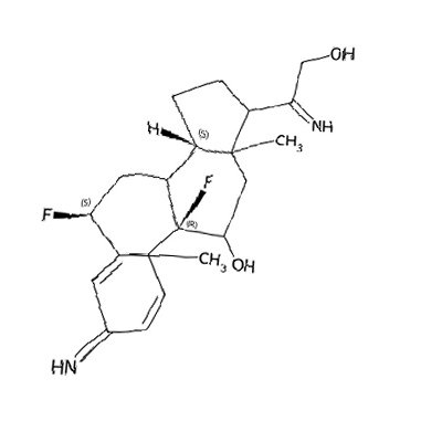 CC12CC(O)[C@@]3(F)C(C[C@H](F)C4=CC(=N)C=CC43C)[C@@H]1CCC2C(=N)CO